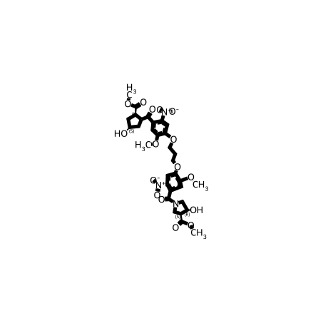 COC(=O)[C@H]1CN(C(=O)c2cc(OC)c(OCCCOc3cc([N+](=O)[O-])c(C(=O)C4C[C@H](O)C[C@H]4C(=O)OC)cc3OC)cc2[N+](=O)[O-])C[C@@H]1O